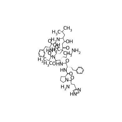 CC(C)CC(N)[C@@H](O)CC(=O)C(C)(C)C[C@@H](C(=O)N[C@@H](Cc1ccccc1)C(=O)O)N(C(=O)C(C)C)C(=O)[C@H](CCCCN)NC(=O)[C@H](CCc1ccccc1)NC(=O)[C@@H]1CCCN1C(=O)[C@@H](N)Cc1c[nH]cn1